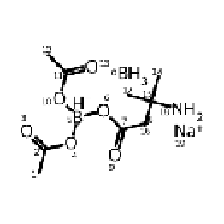 B.CC(=O)O[BH-](OC(C)=O)OC(C)=O.CC(C)(C)N.[Na+]